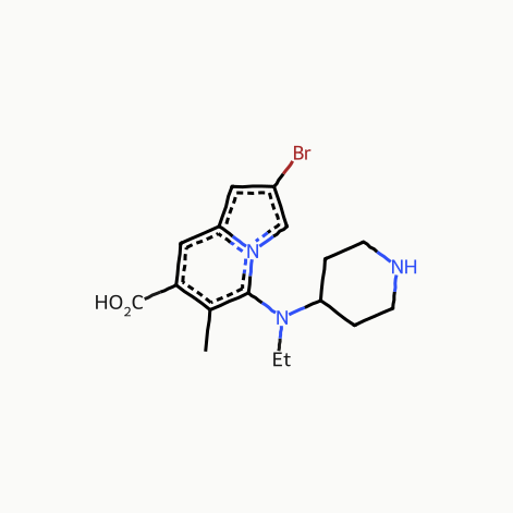 CCN(c1c(C)c(C(=O)O)cc2cc(Br)cn12)C1CCNCC1